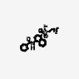 CN(C)CCNS(=O)(=O)c1ccc(NC(=O)c2ccccc2)c2ccccc12